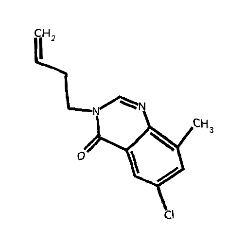 C=CCCn1cnc2c(C)cc(Cl)cc2c1=O